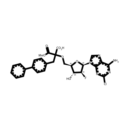 COC(=O)C(Cc1ccc(-c2ccccc2)cc1)(OC[C@H]1O[C@@H](n2cnc3c(N)nc(Cl)nc32)[C@@H](F)[C@@H]1O)C(=O)O